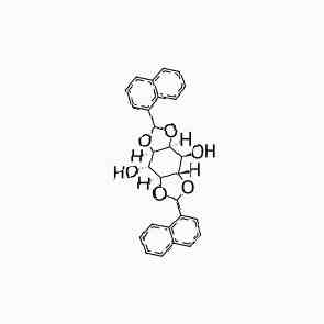 O[C@@H]1[C@H]2OC(c3cccc4ccccc34)O[C@H]2[C@@H](O)[C@@H]2OC(c3cccc4ccccc34)O[C@@H]12